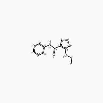 CCOc1sccc1C(=O)Nc1ccccc1